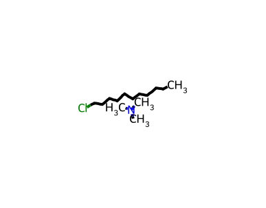 CCCCCCCCCCCCl.CN(C)C